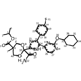 CC(C)OC(=O)C1(C)COC(C(N)=O)(c2nc(-c3ccc(F)cc3)c(-c3ccnc(OC4CCCCC4)n3)[nH]2)OC1